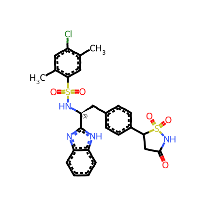 Cc1cc(S(=O)(=O)N[C@@H](Cc2ccc(C3CC(=O)NS3(=O)=O)cc2)c2nc3ccccc3[nH]2)c(C)cc1Cl